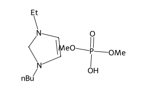 CCCCN1C=CN(CC)C1.COP(=O)(O)OC